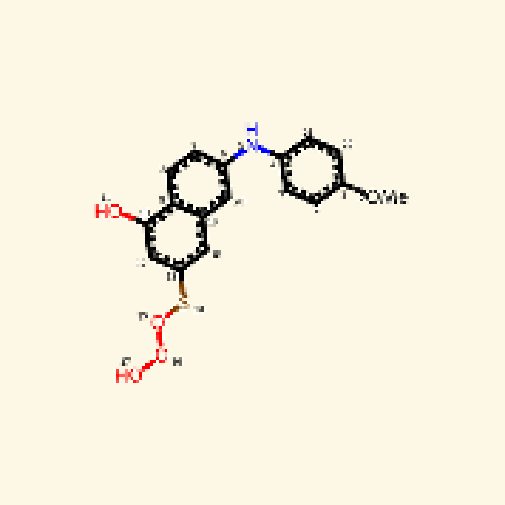 COc1ccc(Nc2ccc3c(O)cc(SOOO)cc3c2)cc1